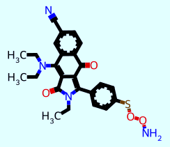 CCN(CC)C1=C2C(=O)N(CC)C(c3ccc(SOON)cc3)=C2C(=O)c2ccc(C#N)cc21